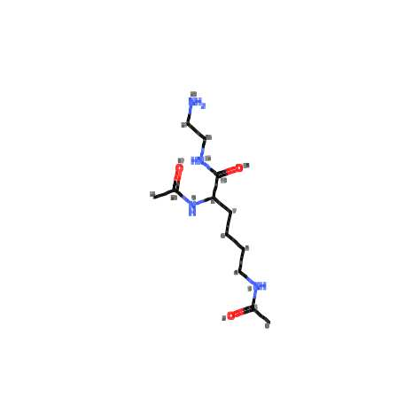 CC(=O)NCCCCC(NC(C)=O)C(=O)NCCN